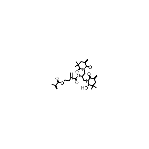 C=C(C)C(=O)OCCNC(=O)OC(CN1C(=O)C(=C)CC(C)(C)C1=O)CN1C(=O)C(=C)CC(C)(C)C1O